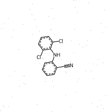 N#Cc1ccccc1Nc1c(Cl)cccc1Cl